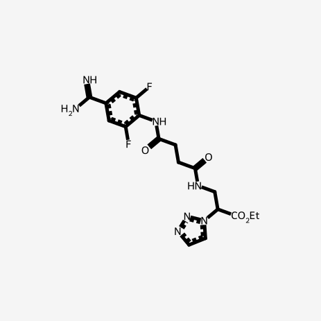 CCOC(=O)C(CNC(=O)CCC(=O)Nc1c(F)cc(C(=N)N)cc1F)n1ccnn1